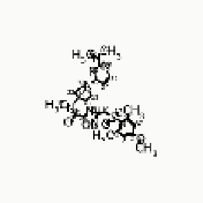 COc1cc(C)c(S(=O)(=O)Cc2noc(C(=O)N(C)C3CCN(c4ccnc(N(C)C)n4)CC3)n2)c(C)c1